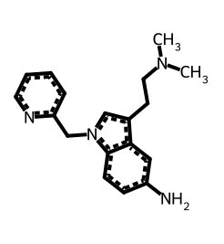 CN(C)CCc1cn(Cc2ccccn2)c2ccc(N)cc12